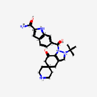 CC(C)(C)N1CC2=C(C(=O)CC3(CCNCC3)C2)N1C(=O)c1ccc2cc(C(N)=O)[nH]c2c1